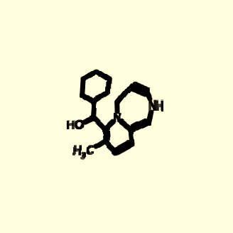 CC1=C(C(O)C2CCCCC2)N2CC#CNC=C2C=C1